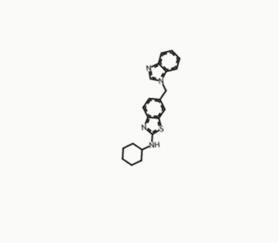 c1ccc2c(c1)ncn2Cc1ccc2nc(NC3CCCCC3)sc2c1